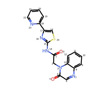 O=C(Cn1c(=O)cnc2ccccc21)Nc1nc(-c2ccccn2)cs1